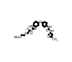 COCCOCC(=O)Nc1nc2cc(Oc3ccc(NC(=O)Nc4cc(C)on4)cc3)ccc2[nH]1